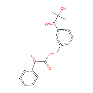 CC(C)(O)C(=O)c1cccc(COC(=O)C(=O)c2ccccc2)c1